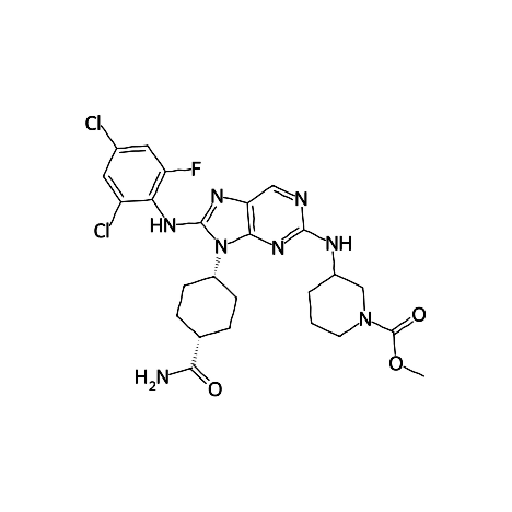 COC(=O)N1CCCC(Nc2ncc3nc(Nc4c(F)cc(Cl)cc4Cl)n([C@H]4CC[C@@H](C(N)=O)CC4)c3n2)C1